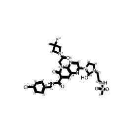 CC1(F)CN(C(=O)Cn2c(=O)c(C(=O)NCc3ccc(Cl)cc3)cc3nc(N4CCN(CCNS(C)(=O)=O)C4O)cnc32)C1